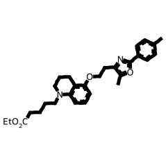 CCOC(=O)CCCCN1CCCc2c(OCCc3nc(-c4ccc(C)cc4)oc3C)cccc21